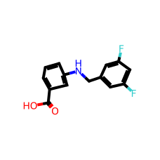 O=C(O)c1cccc(NCc2cc(F)cc(F)c2)c1